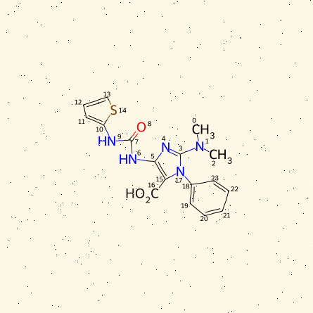 CN(C)c1nc(NC(=O)Nc2cccs2)c(C(=O)O)n1-c1ccccc1